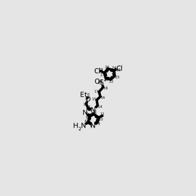 CCOCc1nc2c(N)ncc(C)c2n1CCCCC[S+]([O-])c1ccc(Cl)cc1Cl